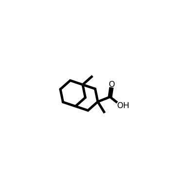 CC12CCCC(C1)CC(C)(C(=O)O)C2